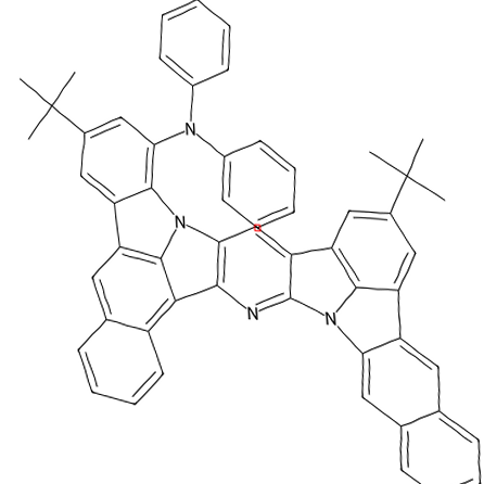 CC(C)(C)c1cc(N(c2ccccc2)c2ccccc2)c2c(c1)c1cc3ccccc3c3c4nc5c(cc4n2c13)c1cc(C(C)(C)C)cc2c3cc4ccccc4cc3n5c21